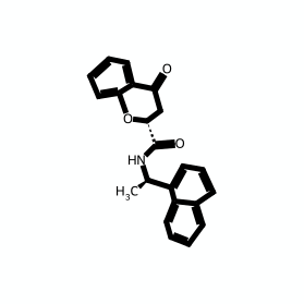 C[C@@H](NC(=O)[C@H]1CC(=O)c2ccccc2O1)c1cccc2ccccc12